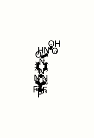 O=C(O)NCC(=O)N1CCN(c2ncc(C(F)(F)F)cn2)CC1